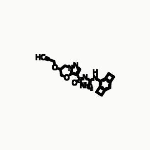 C#CCOC1COc2c(S(N)(=O)=NC(=O)Nc3c4c(cc5c3CC5)CC4)cnn2C1